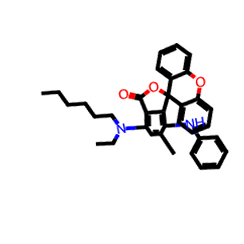 CCCCCCN(CC)c1cc(C)c(Nc2ccccc2)c2c1C(=O)OC21c2ccccc2Oc2ccccc21